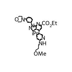 CCOC(=O)c1cc(-c2ccc(NCCCOC)nc2)c2c(C(C)C)nn(-c3cccc(N4CCOCC4)c3)c2n1